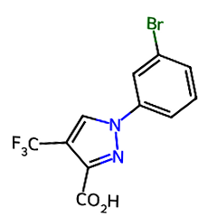 O=C(O)c1nn(-c2cccc(Br)c2)cc1C(F)(F)F